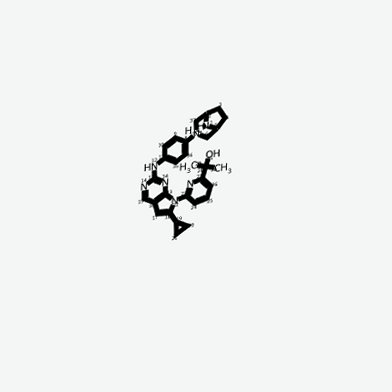 CN1C2CCC1CN(c1ccc(Nc3ncc4cc(C5CC5)n(-c5cccc(C(C)(C)O)n5)c4n3)cc1)C2